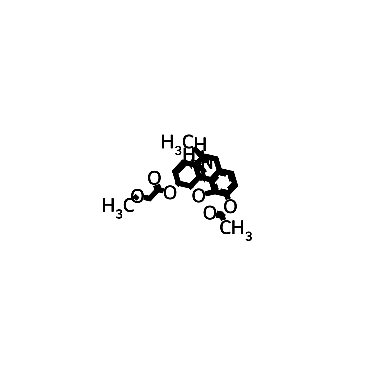 COCC(=O)OC1C=C[C@H]2[C@H]3Cc4ccc(OC(C)=O)c5c4[C@@]2(CCN3C)C1O5